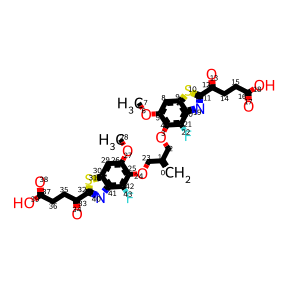 C=C(COc1c(OC)cc2sc(C(=O)CCC(=O)O)nc2c1F)COc1c(OC)cc2sc(C(=O)CCC(=O)O)nc2c1F